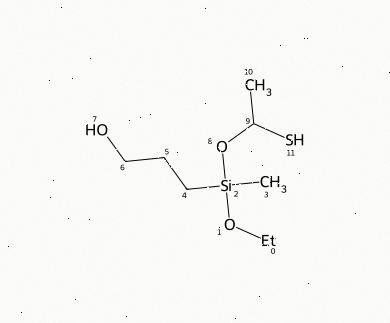 CCO[Si](C)(CCCO)OC(C)S